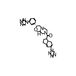 O=C(C1CCC2=CC(n3cnnn3)=CCC21)N1CCN2C[C@@H](c3cccc(-n4cnnn4)c3)OC[C@@H]2C1